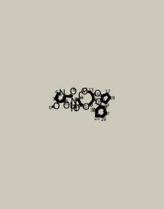 COc1ccnc(C(=O)N[C@H]2COC[C@H](OC3CCCC3)[C@@H](Oc3ccccc3)[C@H](C)OC2=O)c1O